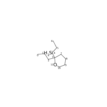 CCCC1([SiH2]CC)CCCCO1